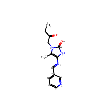 CCC(=O)Cn1c(C)c(N=Cc2cccnc2)[nH]c1=O